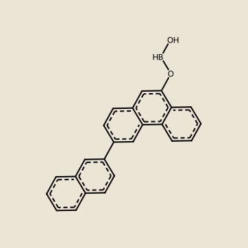 OBOc1cc2ccc(-c3ccc4ccccc4c3)cc2c2ccccc12